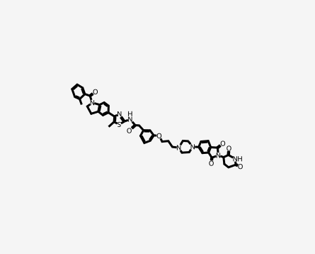 Cc1ccccc1C(=O)N1CCc2cc(-c3nc(NC(=O)Cc4cccc(OCCCN5CCN(c6ccc7c(c6)C(=O)N(C6CCC(=O)NC6=O)C7=O)CC5)c4)sc3C)ccc21